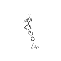 O=C(O)CCc1ccc(N2CCN(c3ccc(-c4nc5cc(Cl)ccc5[nH]4)cn3)CC2)cc1